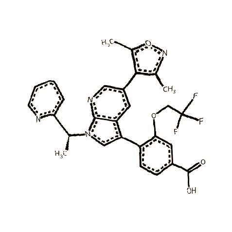 Cc1noc(C)c1-c1cnc2c(c1)c(-c1ccc(C(=O)O)cc1OCC(F)(F)F)cn2[C@@H](C)c1ccccn1